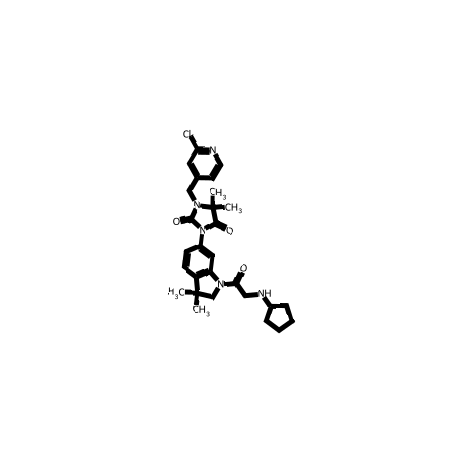 CC1(C)CN(C(=O)CNC2CCCC2)c2cc(N3C(=O)N(Cc4ccnc(Cl)c4)C(C)(C)C3=O)ccc21